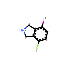 Fc1ccc(I)c2c1CNC2